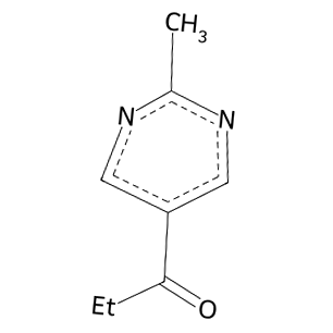 CCC(=O)c1cnc(C)nc1